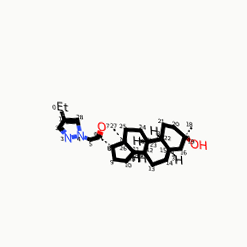 CCc1cnn(CC(=O)[C@H]2CC[C@H]3[C@@H]4CC[C@@H]5C[C@](C)(O)CC[C@@H]5[C@H]4CC[C@]23C)c1